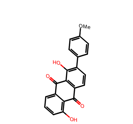 COc1ccc(-c2ccc3c(c2O)C(=O)c2cccc(O)c2C3=O)cc1